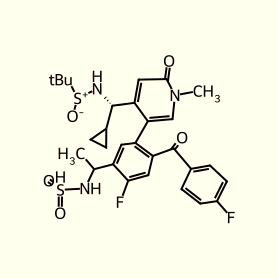 CC(N[SH](=O)=O)c1cc(-c2cn(C)c(=O)cc2[C@@H](N[S+]([O-])C(C)(C)C)C2CC2)c(C(=O)c2ccc(F)cc2)cc1F